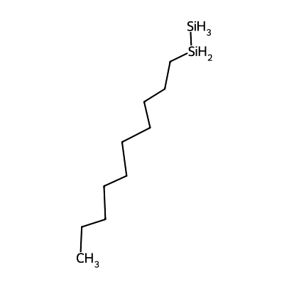 CCCCCCCCCC[SiH2][SiH3]